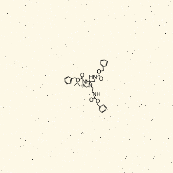 CCC[C@@H](CN(CCNC(=O)OCc1ccccc1)CCNC(=O)OCc1ccccc1)NC(=O)OCc1ccccc1